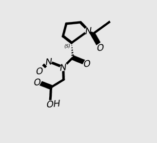 CC(=O)N1CCC[C@H]1C(=O)N(CC(=O)O)N=O